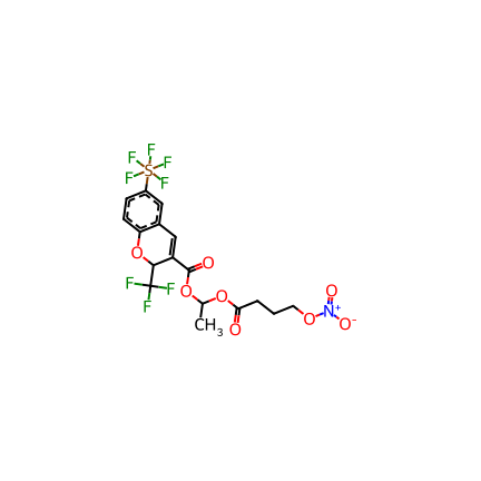 CC(OC(=O)CCCO[N+](=O)[O-])OC(=O)C1=Cc2cc(S(F)(F)(F)(F)F)ccc2OC1C(F)(F)F